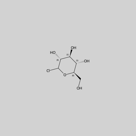 OC[C@H]1OC(Cl)[C@H](O)[C@@H](O)[C@@H]1O